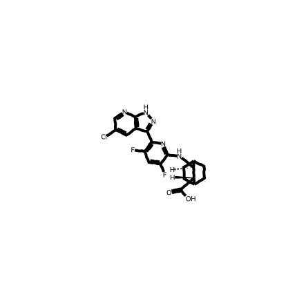 O=C(O)[C@H]1C2CCC(CC2)[C@@H]1Nc1nc(-c2n[nH]c3ncc(Cl)cc23)c(F)cc1F